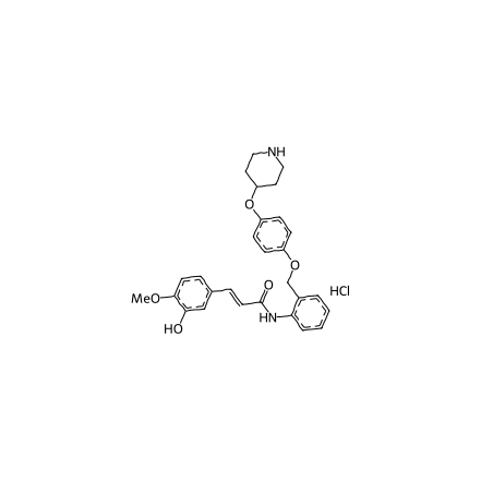 COc1ccc(C=CC(=O)Nc2ccccc2COc2ccc(OC3CCNCC3)cc2)cc1O.Cl